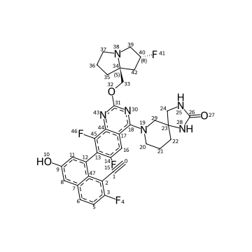 C#Cc1c(F)ccc2cc(O)cc(-c3c(F)cc4c(N5CCCC6(CNC(=O)N6)C5)nc(OC[C@@]56CCCN5C[C@H](F)C6)nc4c3F)c12